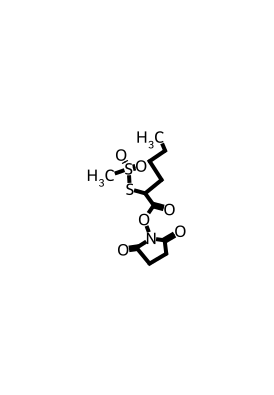 CCCCC(SS(C)(=O)=O)C(=O)ON1C(=O)CCC1=O